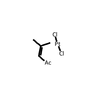 CC(=O)C=C(C)C.[Cl][Pt][Cl]